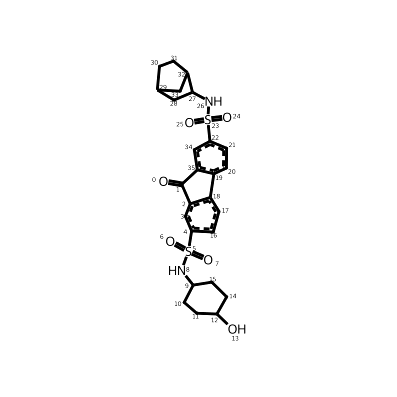 O=C1c2cc(S(=O)(=O)NC3CCC(O)CC3)ccc2-c2ccc(S(=O)(=O)NC3CC4CCC3C4)cc21